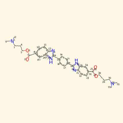 CN(C)CCCOC(=O)c1ccc2nc(-c3ccc(-c4nc5ccc(C(=O)OCCCN(C)C)cc5[nH]4)cc3)[nH]c2c1